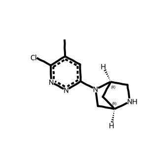 Cc1cc(N2C[C@H]3C[C@@H]2CN3)nnc1Cl